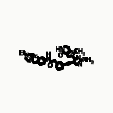 CCN1CCN(Cc2ccc(NC(=O)Cc3cccc(C#Cc4cnc(N)nc4-c4cc5c(n4C)CCNC5=O)c3)cc2Br)CC1